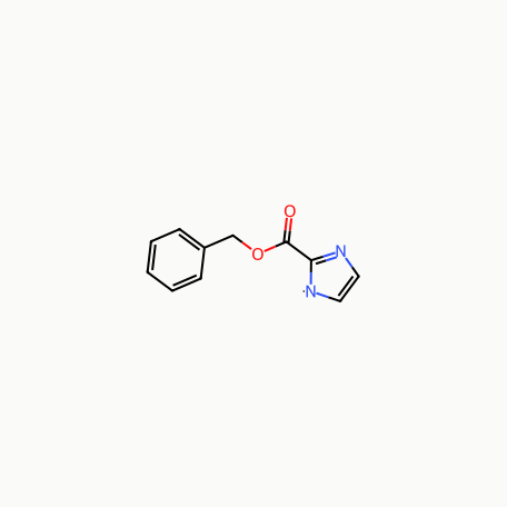 O=C(OCc1ccccc1)C1=NC=C[N]1